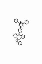 c1ccc(-c2cc(-c3ccc(N4c5ccccc5-c5oc6ccccc6c5-c5ccccc54)cc3)nc(-c3ccccc3)n2)cc1